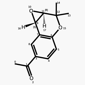 CC(=O)c1ccc2c(c1)[C@@H]1O[C@H]1C(C)(C)O2